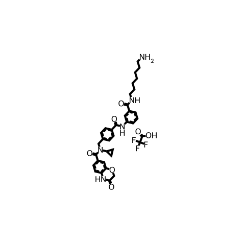 NCCCCCCCNC(=O)c1cccc(NC(=O)c2ccc(CN(C(=O)c3ccc4c(c3)OCC(=O)N4)C3CC3)cc2)c1.O=C(O)C(F)(F)F